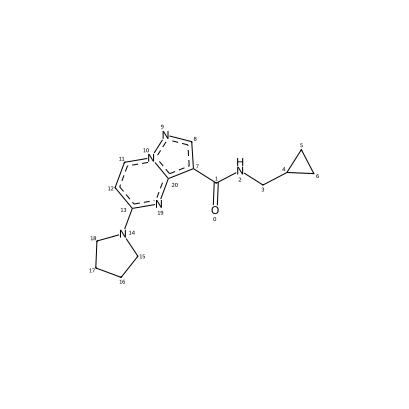 O=C(NCC1CC1)c1cnn2ccc(N3CCCC3)nc12